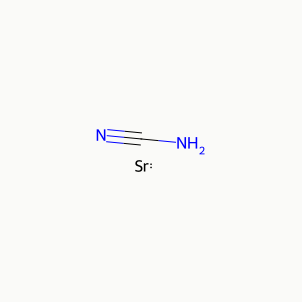 N#CN.[Sr]